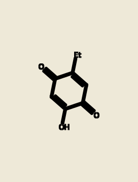 CCC1=CC(=O)C(O)=CC1=O